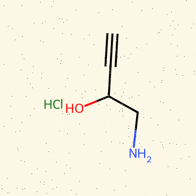 C#CC(O)CN.Cl